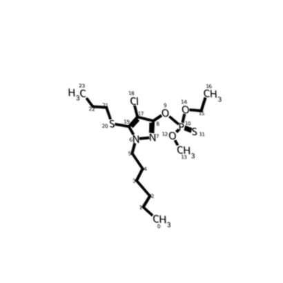 CCCCCCn1nc(OP(=S)(OC)OCC)c(Cl)c1SCCC